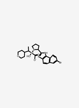 CC(C1CCOCC1)[N+](O)(C(=O)[O-])N1CCCC1c1nc2ccc3cc(Br)ccc3c2[nH]1